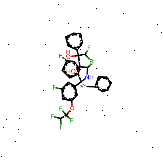 OC(C(F)N[C@](Cc1ccccc1)(c1ccc(F)cc1)c1cc(F)cc(OC(F)(F)C(F)F)c1)C(O)(c1ccccc1)C(F)F